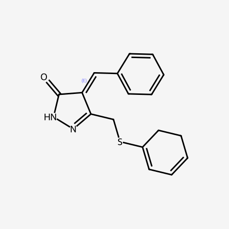 O=C1NN=C(CSC2=CC=CCC2)/C1=C\c1ccccc1